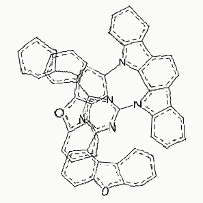 c1ccc(-c2nc(-c3cccc4oc5ccccc5c34)nc(-n3c4ccccc4c4ccc5c6ccccc6n(-c6cc(-c7ccccc7)c7oc8ccccc8c7c6)c5c43)n2)cc1